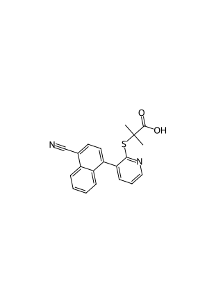 CC(C)(Sc1ncccc1-c1ccc(C#N)c2ccccc12)C(=O)O